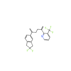 C=C(CCC(=C)c1ncccc1C(F)(F)F)c1ccc2c(c1)CC(F)(F)C2